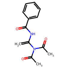 C=C(NC(=O)c1ccccc1)N(C(C)=O)C(C)=O